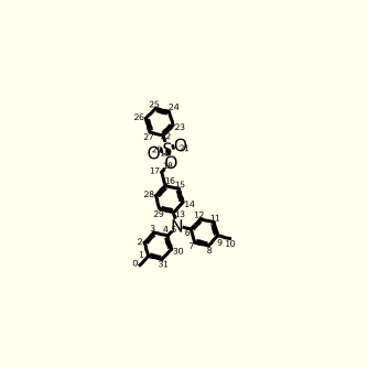 Cc1ccc(N(c2ccc(C)cc2)c2ccc(COS(=O)(=O)c3ccccc3)cc2)cc1